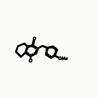 COc1ccc(Cn2cc(Cl)c3c(c2=O)CCCC3)cc1